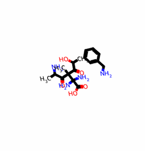 CC(N)C(=O)C(C)(C(=O)C(C)O)C(N)(N)C(=O)O.NCc1ccccc1